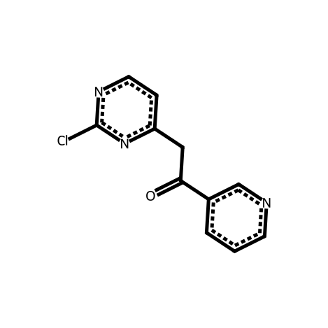 O=C(Cc1ccnc(Cl)n1)c1cccnc1